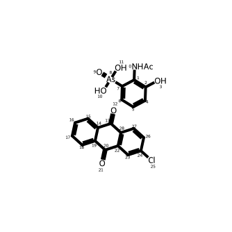 CC(=O)Nc1c(O)cccc1[As](=O)(O)O.O=C1c2ccccc2C(=O)c2cc(Cl)ccc21